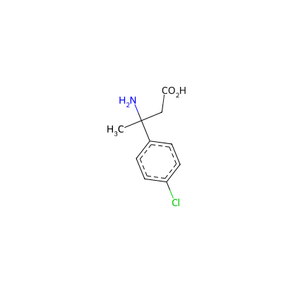 CC(N)(CC(=O)O)c1ccc(Cl)cc1